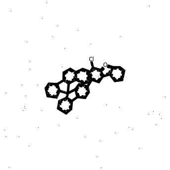 Clc1cc(-c2ccc3c(c2)C2(c4ccccc4-3)c3ccccc3-c3ccc4ccccc4c32)cc2c1oc1ccccc12